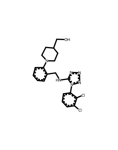 OCC1CCN(c2ccccc2CNc2nnnn2-c2cccc(Cl)c2Cl)CC1